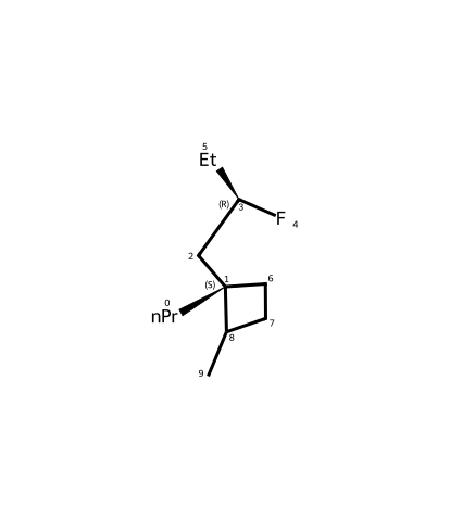 CCC[C@@]1(C[C@H](F)CC)CCC1C